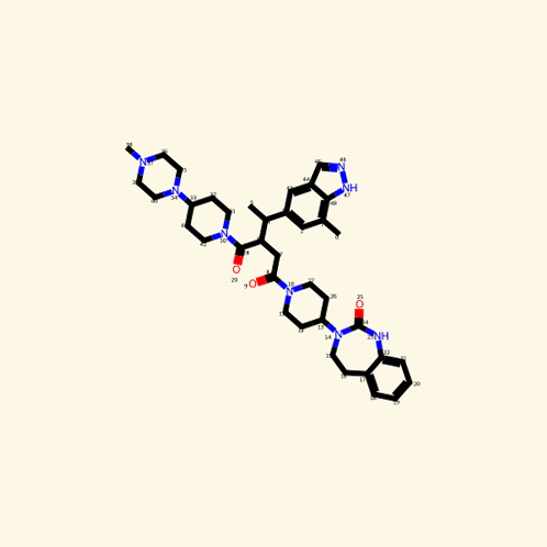 Cc1cc(C(C)C(CC(=O)N2CCC(N3CCc4ccccc4NC3=O)CC2)C(=O)N2CCC(N3CCN(C)CC3)CC2)cc2cn[nH]c12